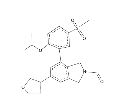 CC(C)Oc1ccc(S(C)(=O)=O)cc1-c1cc(C2CCOC2)cc2c1CN(C=O)C2